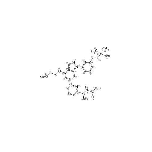 CCC[C@H](N[S@+]([O-])C(C)(C)C)c1cccc(-c2cc(OCCOC)c3cnn(-c4cncc(CO[Si](C)(C)C(C)(C)C)n4)c3c2)n1